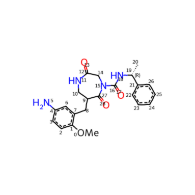 COc1ccc(N)cc1CC1CNC(=O)CN(C(=O)N[C@H](C)c2ccccc2)C1=O